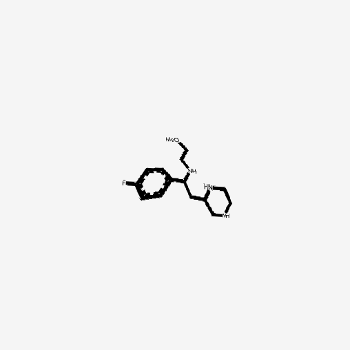 COCCNC(CC1CNCCN1)c1ccc(F)cc1